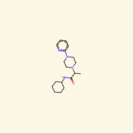 CC(C(=O)NC1CCCCC1)N1CCN(c2ccccn2)CC1